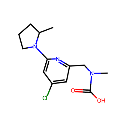 CC1CCCN1c1cc(Cl)cc(CN(C)C(=O)O)n1